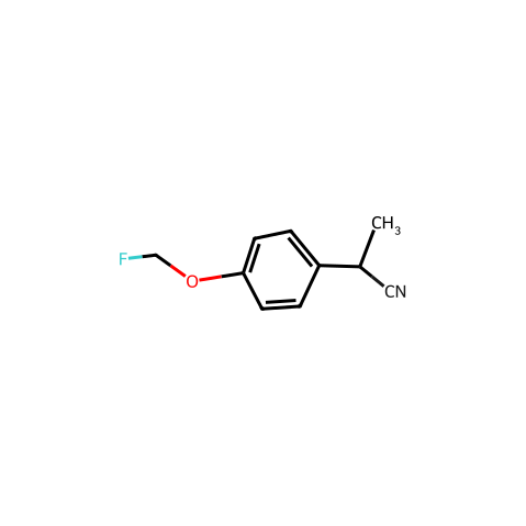 CC(C#N)c1ccc(OCF)cc1